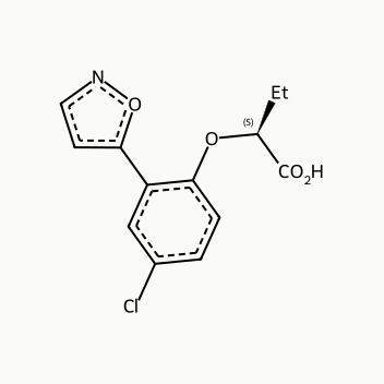 CC[C@H](Oc1ccc(Cl)cc1-c1ccno1)C(=O)O